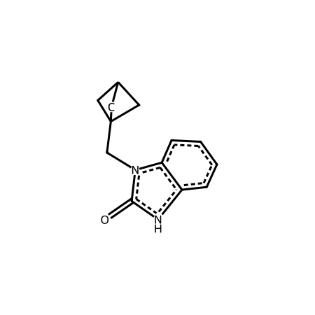 O=c1[nH]c2ccccc2n1CC12CC(C1)C2